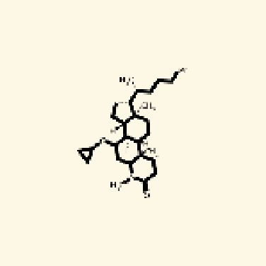 CC(C)CCC[C@@H](C)[C@H]1CC[C@H]2[C@@H]3C(OC4CC4)CC4N(C)C(=O)CC[C@]4(C)[C@H]3CC[C@]12C